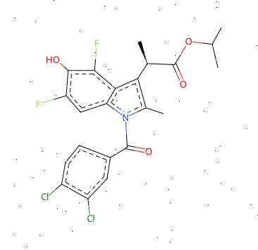 Cc1c([C@@H](C)C(=O)OC(C)C)c2c(F)c(O)c(F)cc2n1C(=O)c1ccc(Cl)c(Cl)c1